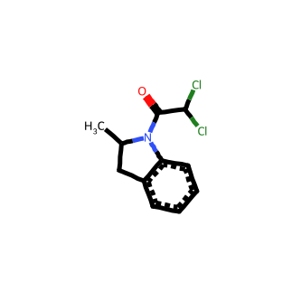 CC1Cc2ccccc2N1C(=O)C(Cl)Cl